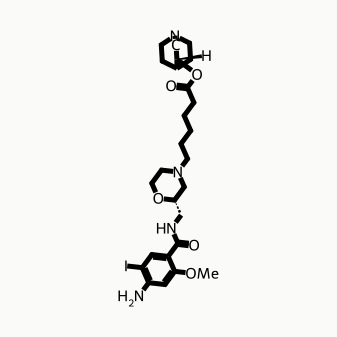 COc1cc(N)c(I)cc1C(=O)NC[C@H]1CN(CCCCCC(=O)O[C@H]2CN3CCC2CC3)CCO1